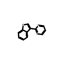 c1cnc(-c2coc3ccccc23)nc1